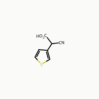 N#CC(C(=O)O)c1ccsc1